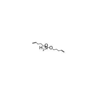 C=CCCCO[SiH2]OCCCC=C